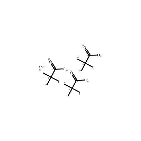 CC(C)(C)C(=O)[O-].CC(C)(C)C(=O)[O-].CC(C)(C)C(=O)[O-].[Yb+3]